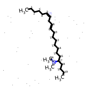 CCCCC/C=C\CC=CCCCCCCCC(CCCC)N(C)C